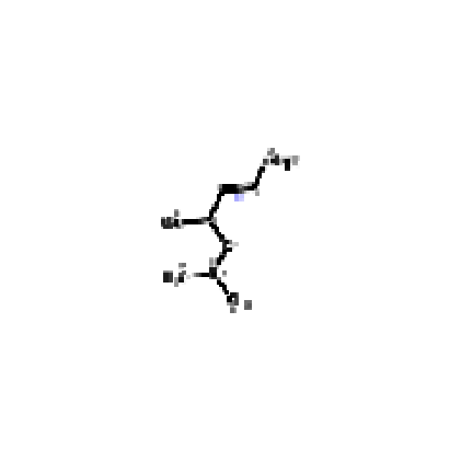 CCCCCCC/C=C/C(O[SiH](C)C)C(C)(C)C